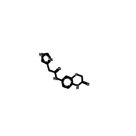 O=C(Cc1c[nH]cn1)Nc1ccc2c(c1)OCC(=O)N2